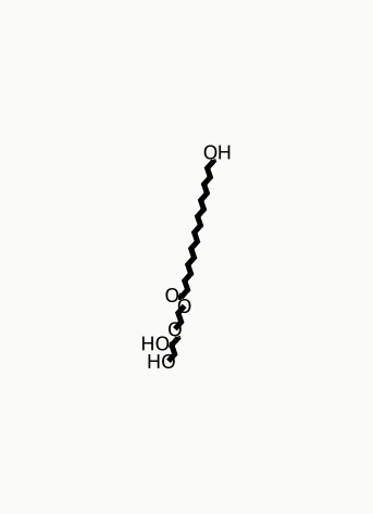 O=C(CCCCCCCCCCCCCCCCCO)OCCOCC(O)CO